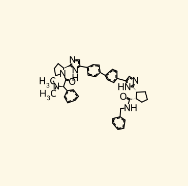 CN(C)[C@@H](C(=O)N1CCC[C@H]1c1ncc(-c2ccc(-c3ccc(-c4cnc([C@@H]5CCC[C@@H]5C(=O)NCc5ccccc5)[nH]4)cc3)cc2)[nH]1)c1ccccc1